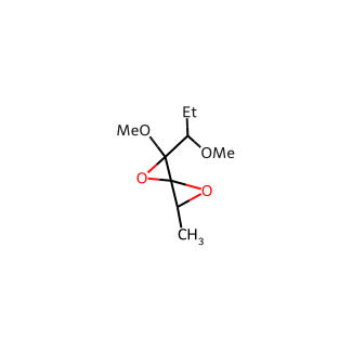 CCC(OC)C1(OC)OC12OC2C